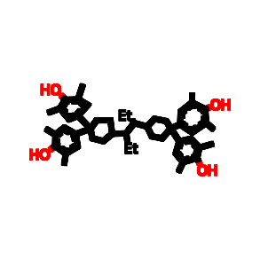 CCC(C1CCC(c2cc(C)c(O)c(C)c2)(c2cc(C)c(O)c(C)c2)CC1)C(CC)C1CCC(c2cc(C)c(O)c(C)c2)(c2cc(C)c(O)c(C)c2)CC1